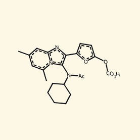 CC(=O)N(c1c(-c2ccc(OC(=O)O)o2)nc2cc(C)cc(C)n12)C1CCCCC1